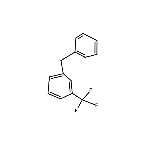 FC(F)(F)c1[c]ccc(Cc2ccccc2)c1